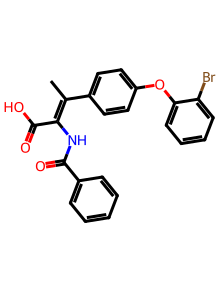 C/C(=C(/NC(=O)c1ccccc1)C(=O)O)c1ccc(Oc2ccccc2Br)cc1